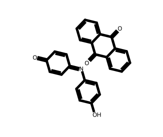 O=C1C=CC(=Nc2ccc(O)cc2)C=C1.O=C1c2ccccc2C(=O)c2ccccc21